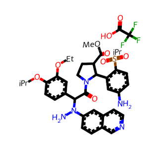 CCOc1cc(C(C(=O)N2CCC(C(=O)OC)C2c2cc(N)ccc2S(=O)(=O)C(C)C)N(N)c2ccc3cnccc3c2)ccc1OC(C)C.O=C(O)C(F)(F)F